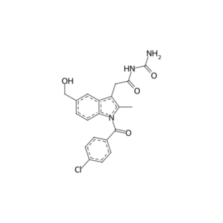 Cc1c(CC(=O)NC(N)=O)c2cc(CO)ccc2n1C(=O)c1ccc(Cl)cc1